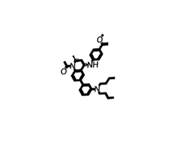 C=C(OC)c1ccc(N[C@@H]2C[C@H](C)N(C(C)=O)c3ccc(-c4cccc(N(CCCC)CCCC)c4)cc32)cc1